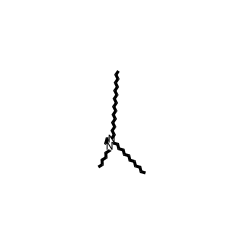 CCCCCCCCCCCCCCCCCN1C=CN(CCCCCC)C1CCCCCCCCCCC